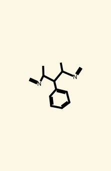 C=NC(C)C(c1ccccc1)C(C)N=C